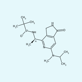 CC(C)N(C)c1cc2c(c([C@@H](C)N[S+]([O-])C(C)(C)C)n1)CNC2=O